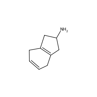 NC1CC2=C(CC=CC2)C1